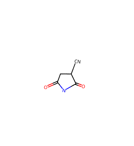 N#CC1CC(=O)[N]C1=O